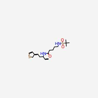 C=CC(C/C=C1/C=CSC1)NC(=O)CCCCNS(=O)(=O)C(C)(C)C